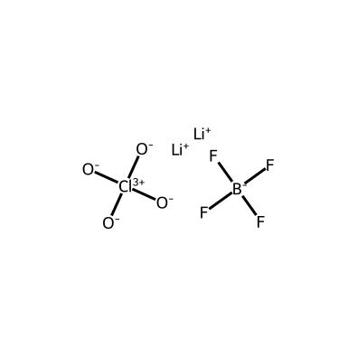 F[B-](F)(F)F.[Li+].[Li+].[O-][Cl+3]([O-])([O-])[O-]